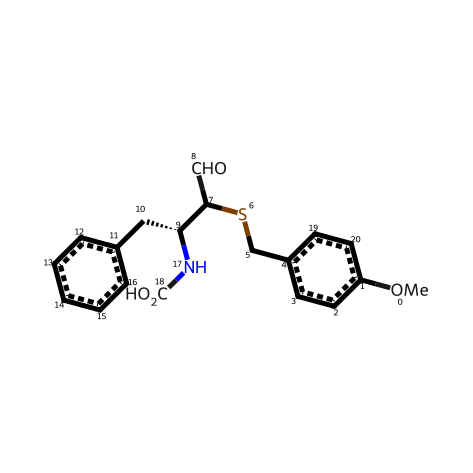 COc1ccc(CSC(C=O)[C@@H](Cc2ccccc2)NC(=O)O)cc1